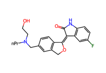 CCCN(CCO)Cc1ccc2c(c1)COC2=C1C(=O)Nc2ccc(F)cc21